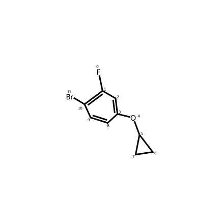 Fc1cc(OC2CC2)ccc1Br